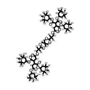 CN1C(C)(C)CC(OC(=O)CC(C(=O)OC2CC(C)(C)N(C)C(C)(C)C2)C(CC(=O)OCC(C)(C)C2OCC3(CO2)COC(C(C)(C)COC(=O)CC(C(=O)OC2CC(C)(C)N(C)C(C)(C)C2)C(C(=O)OC2CC(C)(C)N(C)C(C)(C)C2)C(=O)OC2CC(C)(C)N(C)C(C)(C)C2)OC3)C(=O)OC2CC(C)(C)N(C)C(C)(C)C2)CC1(C)C